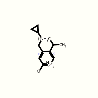 C=C(Cl)/C=C(CNC1CC1)\C(=C/C)C(C)C